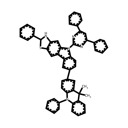 CC1(C)c2ccccc2N(c2ccccc2)c2ccc(-c3ccc4c(c3)c3cc5c(cc3n4-c3nc(-c4ccccc4)cc(-c4ccccc4)n3)NC(c3ccccc3)S5)cc21